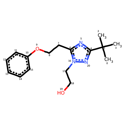 CC(C)(C)c1nc(CCOc2ccccc2)n(CCO)n1